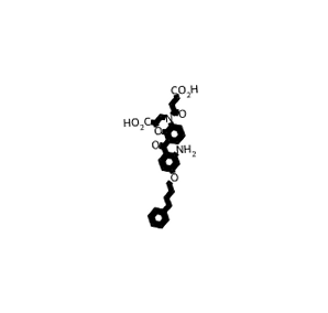 Nc1cc(OCCCCc2ccccc2)ccc1C(=O)c1cccc2c1OC(C(=O)O)CN2C(=O)CCC(=O)O